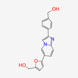 OCc1ccc(-c2cn3cc(-c4ccc(CO)o4)ccc3n2)cc1